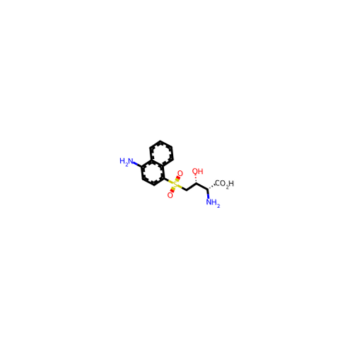 Nc1ccc(S(=O)(=O)C[C@H](O)[C@@H](N)C(=O)O)c2ccccc12